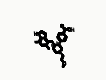 COCCN1CC[C@@H](Cc2c(C)cc(C)c3[nH]ccc23)[C@H](c2ccc(C(=O)O)cc2)C1